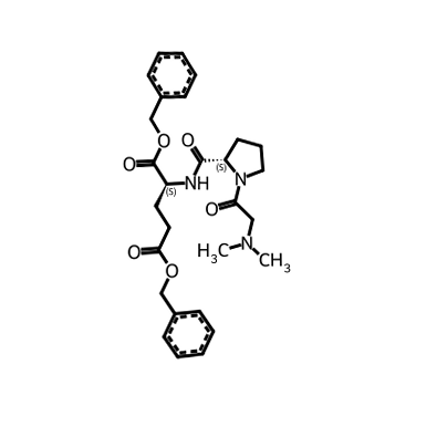 CN(C)CC(=O)N1CCC[C@H]1C(=O)N[C@@H](CCC(=O)OCc1ccccc1)C(=O)OCc1ccccc1